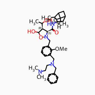 COc1c(CN(CCN(C)C)Cc2ccccc2)cccc1CN1OC(O)[C@@H](C(C)O)[C@H]1C(=O)N[C@H]1CC2CC(C1C)C2(C)C